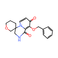 O=C1NCC2(CCCOC2)n2ccc(=O)c(OCc3ccccc3)c21